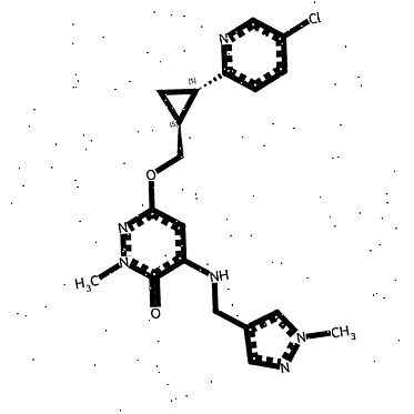 Cn1cc(CNc2cc(OC[C@H]3C[C@@H]3c3ccc(Cl)cn3)nn(C)c2=O)cn1